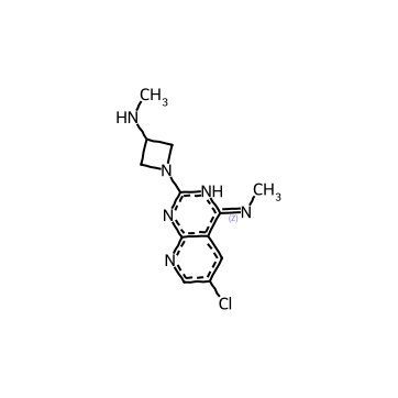 C/N=c1\[nH]c(N2CC(NC)C2)nc2ncc(Cl)cc12